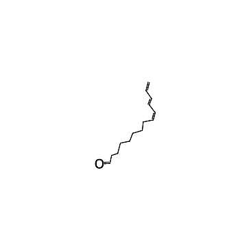 C=C/C=C/C=C\CCCCCCCC=O